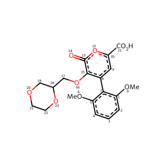 COc1cccc(OC)c1-c1cc(C(=O)O)oc(=O)c1OCC1COCCO1